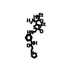 CCNC(=O)[C@@H](N)C1S[C@H](CNc2cccc(NC(=O)CCN3CCCC3)c2)C(=O)N1CC